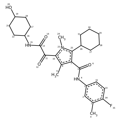 Cc1cc(NC(=O)c2c(C)c(C(=O)C(=O)NC3CCC(O)CC3)n(C)c2C2CCCCC2)ccc1F